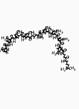 CN(C)CCCNC(=O)CCNC(=O)c1cc(NC(=O)c2cc(NC(=O)c3cc(NC(=O)c4nc(NC(=O)C(N)CCNC(=O)c5cc(NC(=O)c6nc(NC(=O)c7cc(NC(=O)c8nccn8C)cn7C)cn6C)cn5C)cn4C)cn3C)cn2C)cn1C